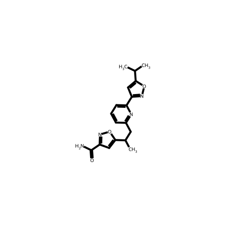 CC(C)c1cc(-c2cccc(CC(C)c3cc(C(N)=O)no3)n2)no1